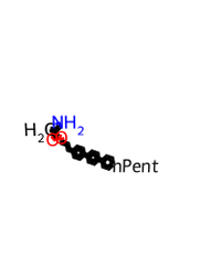 C=C(CN)C(=O)OCCCc1ccc(-c2ccc(C3CCC(CCCCC)CC3)cc2)cc1